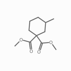 COC(=O)C1(C(=O)OC)CCCC(C)C1